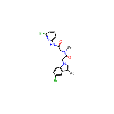 CC(=O)c1cn(CC(=O)N(CC(=O)Nc2cccc(Br)n2)C(C)C)c2ccc(Br)cc12